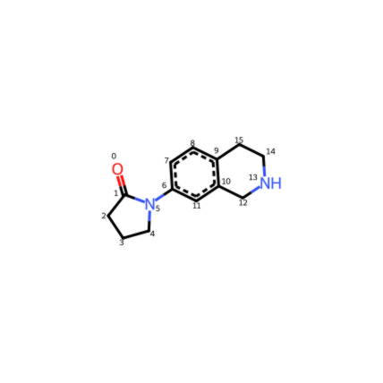 O=C1CCCN1c1ccc2c(c1)CNCC2